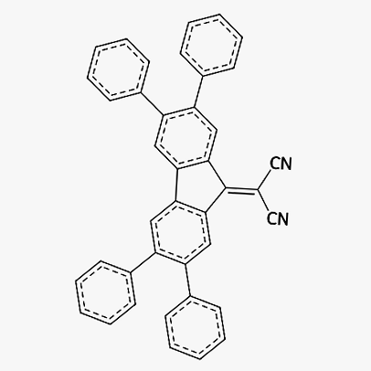 N#CC(C#N)=C1c2cc(-c3ccccc3)c(-c3ccccc3)cc2-c2cc(-c3ccccc3)c(-c3ccccc3)cc21